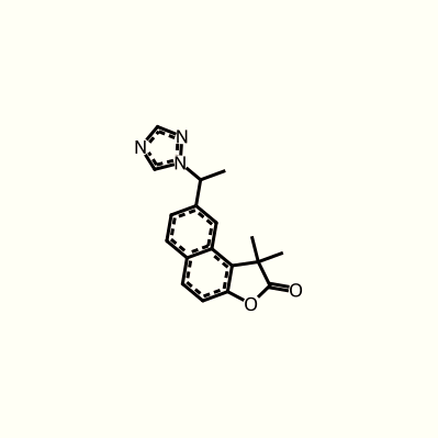 CC(c1ccc2ccc3c(c2c1)C(C)(C)C(=O)O3)n1cncn1